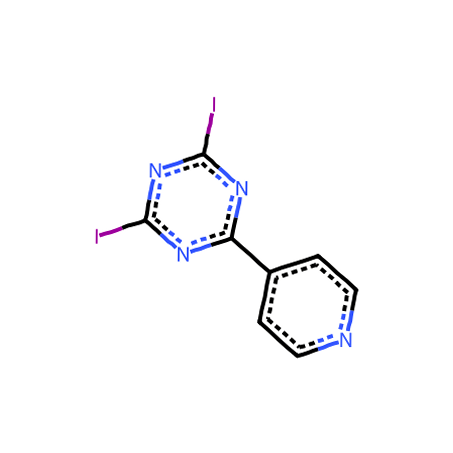 Ic1nc(I)nc(-c2ccncc2)n1